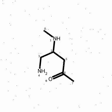 CNC(CN)CC(C)=O